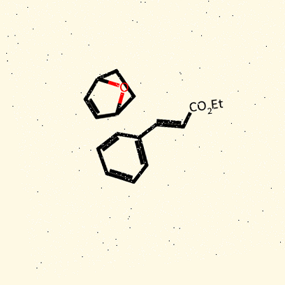 C1=CC2CCC1O2.CCOC(=O)C=Cc1ccccc1